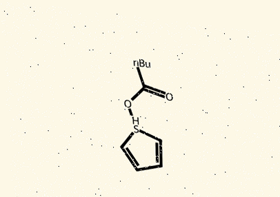 CCCCC(=O)O[SH]1C=CC=C1